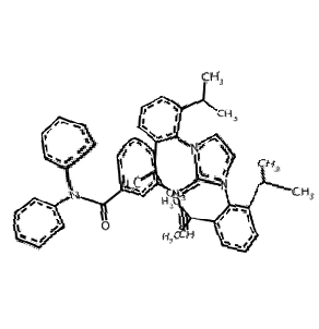 C#[C][Au]([c]1cccc(C(=O)N(c2ccccc2)c2ccccc2)c1)=[c]1n(-c2c(C(C)C)cccc2C(C)C)ccn1-c1c(C(C)C)cccc1C(C)C